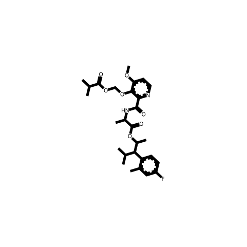 COc1ccnc(C(=O)NC(C)C(=O)OC(C)C(c2ccc(F)cc2C)C(C)C)c1OCOC(=O)C(C)C